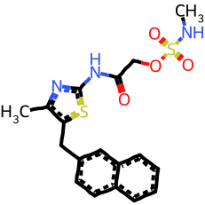 CNS(=O)(=O)OCC(=O)Nc1nc(C)c(Cc2ccc3ccccc3c2)s1